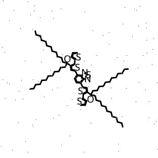 CCCCCCCCCCCCC1(CCCCCCCCCCCC)Oc2ccsc2-c2sc(-c3ccc(-c4cc5c(s4)-c4sccc4OC5(CCCCCCCCCCCC)CCCCCCCCCCCC)c4nsnc34)cc21